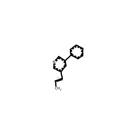 [CH2]/C=C/c1cncc(-c2ccccc2)c1